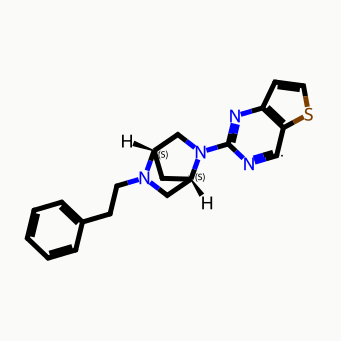 [c]1nc(N2C[C@@H]3C[C@H]2CN3CCc2ccccc2)nc2ccsc12